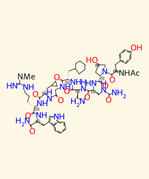 CNC(=N)NCCC[C@H](NC(=O)[C@H](CC1CC1)NC(=O)CNC(=O)[C@H](CC1CCCCC1)NC(=O)[C@H](CN)NC(=O)[C@H](CNC(N)=O)NC(=O)[C@@H]1C[C@@H](O)CN1C(=O)[C@@H](Cc1ccc(O)cc1)NC(C)=O)C(=O)N[C@@H](Cc1c[nH]c2ccccc12)C(N)=O